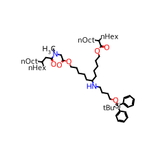 CCCCCCCCC(CCCCCC)CC(=O)N(C)CC(=O)OCCCCCC(CCCCCOC(=O)C(CCCCCC)CCCCCCCC)NCCCCO[Si](c1ccccc1)(c1ccccc1)C(C)(C)C